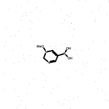 CON1C=C(B(O)O)C=NC1